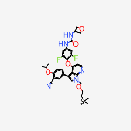 CC(C)Oc1ccc(-c2cn(COCC[Si](C)(C)C)c3nccc(Oc4c(F)cc(NC(=O)NC5COC5)cc4F)c23)cc1C#N